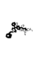 C[C@H](O)CC(=N)C(=O)c1ccc2c(c1)Oc1ccccc1C2C1CCN(C=Cc2ccccc2)CC1